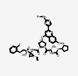 C=C[C@@H]1C[C@]1(NC(=O)[C@@H]1C[C@@H](Oc2cc(-c3csc(NC(C)C)n3)nc3cc(OC)ccc23)CN1C(=O)[C@@H](NC(=O)OC1CCCC1)C(C)(C)C)P(=O)(O)CCc1ccccc1F